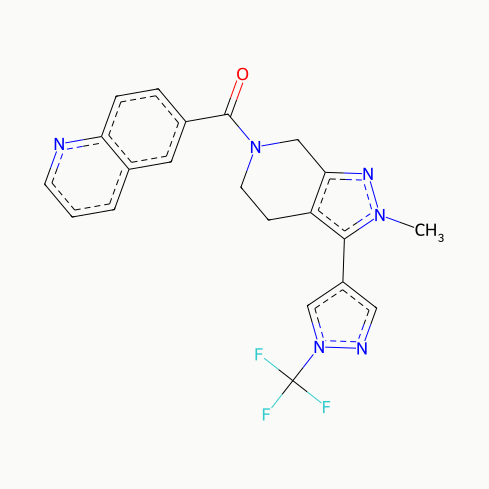 Cn1nc2c(c1-c1cnn(C(F)(F)F)c1)CCN(C(=O)c1ccc3ncccc3c1)C2